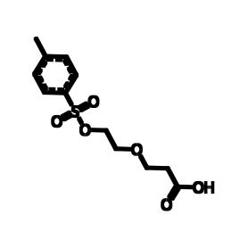 Cc1ccc(S(=O)(=O)OCCOCCC(=O)O)cc1